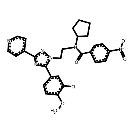 COc1ccc(-c2nc(-c3ccncc3)nn2CCN(C(=O)c2ccc([N+](=O)[O-])cc2)C2CCCC2)cc1Cl